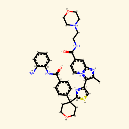 Cc1nc2cc(C(=O)NCCN3CCOCC3)ccn2c1-c1csc(C2(c3ccc(C(=O)Nc4ccccc4N)cc3)CCOCC2)n1